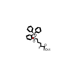 CCCCCCCCC(=O)C(F)CCCS(=O)(=O)OS(c1ccccc1)(c1ccccc1)c1ccccc1